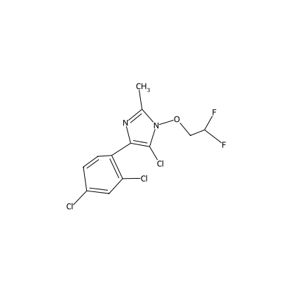 Cc1nc(-c2ccc(Cl)cc2Cl)c(Cl)n1OCC(F)F